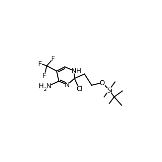 CC(C)(C)[Si](C)(C)OCCC1(Cl)N=C(N)C(C(F)(F)F)=CN1